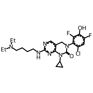 CCN(CC)CCCCNc1ncc2c(n1)N(C1CC1)C(=O)N(c1c(Cl)cc(F)c(O)c1F)C2